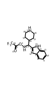 O=C(ONC(c1nc2ccccc2[nH]1)C1CCNCC1)C(F)(F)F